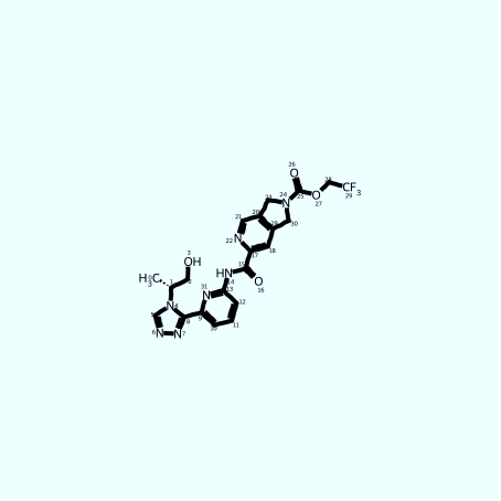 C[C@H](CO)n1cnnc1-c1cccc(NC(=O)c2cc3c(cn2)CN(C(=O)OCC(F)(F)F)C3)n1